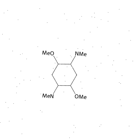 CNC1CC(OC)C(NC)CC1OC